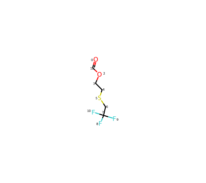 O=[C]OCCSCC(F)(F)F